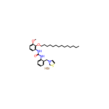 Br.CCCCCCCCCCCCCCOc1c(NC(=O)Nc2ccccc2CN2C=CSC2)cccc1OC